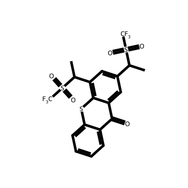 CC(c1cc(C(C)S(=O)(=O)C(F)(F)F)c2sc3ccccc3c(=O)c2c1)S(=O)(=O)C(F)(F)F